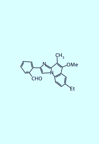 CCc1ccc2c(c1)c(OC)c(C)c1nc(-c3ccccc3C=O)cn12